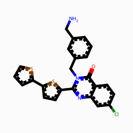 NCc1cccc(Cn2c(-c3ccc(-c4cccs4)s3)nc3cc(Cl)ccc3c2=O)c1